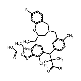 CC[C@@H]1CN(Cc2cc(C(c3ccc4c(nnn4C)c3C)C(C)(C)C(=O)O)ccc2C)Cc2ccc(F)cc2O1.O=CO